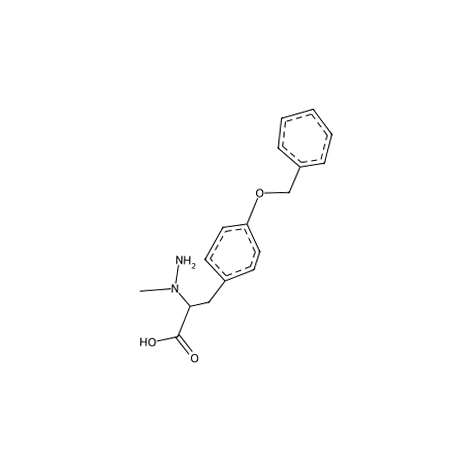 CN(N)C(Cc1ccc(OCc2ccccc2)cc1)C(=O)O